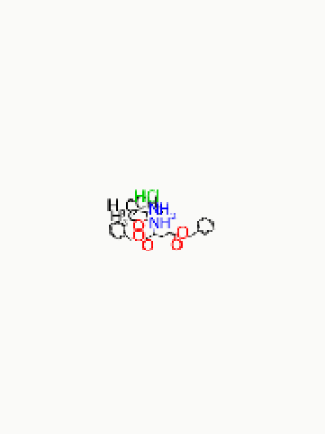 CC(C)(C)[C@H](N)C(=O)N[C@@H](CCC(=O)OCc1ccccc1)C(=O)OCc1ccccc1.Cl